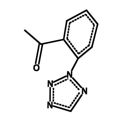 CC(=O)c1ccccc1-n1ncnn1